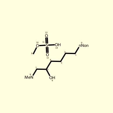 CCCCCCCCCCCCCC(O)CNC.COS(=O)(=O)O